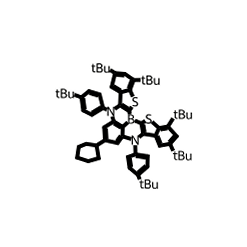 CC(C)(C)c1ccc(N2c3cc(C4CCCCC4)cc4c3B(c3sc5c(C(C)(C)C)cc(C(C)(C)C)cc5c32)c2sc3c(C(C)(C)C)cc(C(C)(C)C)cc3c2N4c2ccc(C(C)(C)C)cc2)cc1